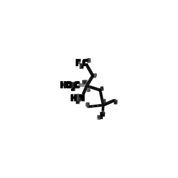 CC(C)(F)C[C@@](N)(CC(F)(F)F)C(=O)O